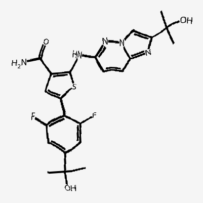 CC(C)(O)c1cc(F)c(-c2cc(C(N)=O)c(Nc3ccc4nc(C(C)(C)O)cn4n3)s2)c(F)c1